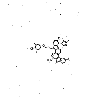 Cc1cc(OCCCc2c3n(c4c(-c5c(C)nn(C)c5C)c(Cl)ccc24)[C@H](C)CN(c2c(C(N)=O)n(C)c4ccc(C(C)C)cc24)C3=O)cc(C)c1Cl